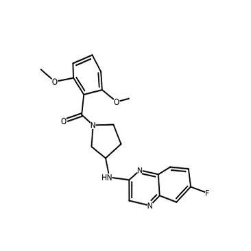 COc1cccc(OC)c1C(=O)N1CCC(Nc2cnc3cc(F)ccc3n2)C1